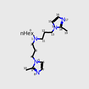 CCCCCCN(CCCn1ccnc1C)CCCn1ccnc1C